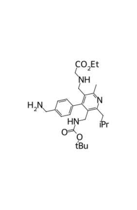 CCOC(=O)CNCc1c(C)nc(CC(C)C)c(CNC(=O)OC(C)(C)C)c1-c1ccc(CN)cc1